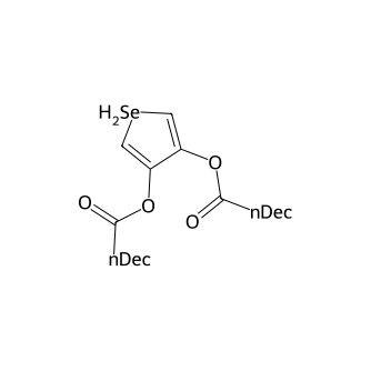 CCCCCCCCCCC(=O)OC1=C[SeH2]C=C1OC(=O)CCCCCCCCCC